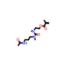 C=C(C)C(=O)OCCN(C)C(=O)N(C)CCCNC(C)=O